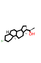 C[C@@H](O)[C@H]1CCC2C3CC[C@@H]4C[C@@H](F)CC[C@]4(C)C3CC[C@@]21C